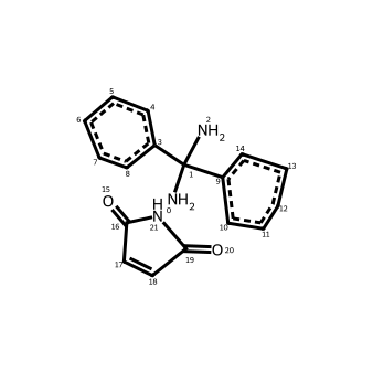 NC(N)(c1ccccc1)c1ccccc1.O=C1C=CC(=O)N1